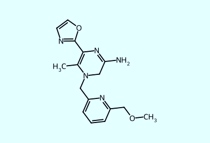 COCc1cccc(CN2CC(N)=NC(c3ncco3)=C2C)n1